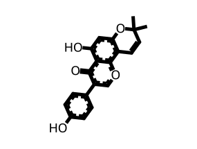 CC1(C)C=Cc2c(cc(O)c3c(=O)c(-c4ccc(O)cc4)coc23)O1